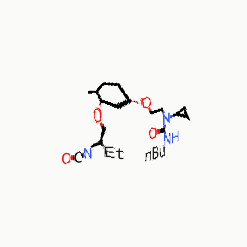 CCCCNC(=O)N(CCO[C@H]1CCC(C)[C@@H](OCC(CC)CN=C=O)C1)C1CC1